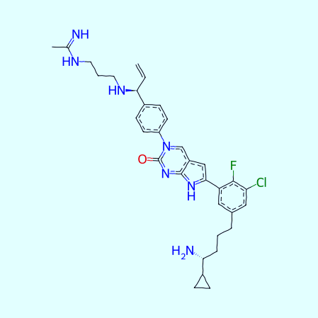 C=C[C@H](NCCCNC(C)=N)c1ccc(-n2cc3cc(-c4cc(CCC[C@@H](N)C5CC5)cc(Cl)c4F)[nH]c3nc2=O)cc1